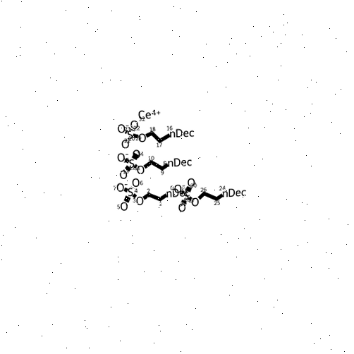 CCCCCCCCCCCCOS(=O)(=O)[O-].CCCCCCCCCCCCOS(=O)(=O)[O-].CCCCCCCCCCCCOS(=O)(=O)[O-].CCCCCCCCCCCCOS(=O)(=O)[O-].[Ce+4]